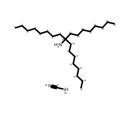 CCCCCCCCC(N)(CCCCCCCC)CCCCCCCC.N#CS